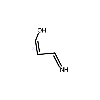 N=C/C=C\O